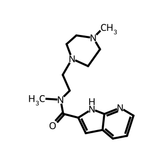 CN1CCN(CCN(C)C(=O)c2cc3cccnc3[nH]2)CC1